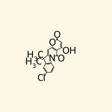 CC1(C)c2cc(Cl)ccc2-n2c1cc1oc(=O)cc(O)c1c2=O